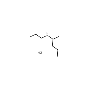 CCCNC(C)CCC.Cl